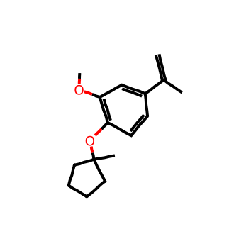 C=C(C)c1ccc(OC2(C)CCCC2)c(OC)c1